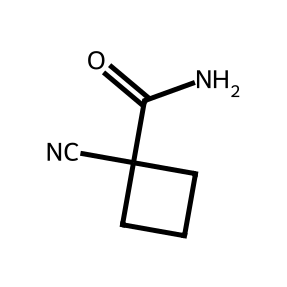 N#CC1(C(N)=O)CCC1